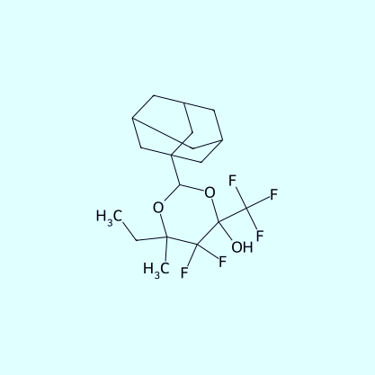 CCC1(C)OC(C23CC4CC(CC(C4)C2)C3)OC(O)(C(F)(F)F)C1(F)F